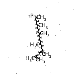 [CH2]CC/C(C)=C/CC/C(C)=C/CC/C(C)=C/CC/C=C(\C)CCC=C(C)CCC=C(C)C